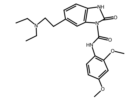 CCN(CC)CCc1ccc2[nH]c(=O)n(C(=O)Nc3ccc(OC)cc3OC)c2c1